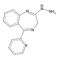 NNC1=Nc2ccccc2C(c2ccccn2)=NC1